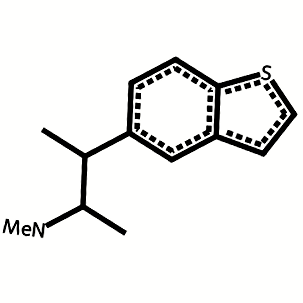 CNC(C)C(C)c1ccc2sccc2c1